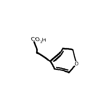 O=C(O)CC1=CCOC=C1